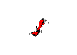 NC(=O)c1cnc2ccc(-c3ccc(C(=O)NCCCNC(=O)CNCc4cccc5c4C(=O)N(C4CCC(=O)NC4=O)C5=O)cc3)cc2c1Nc1ccccc1